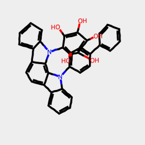 Oc1c(O)c(O)c(-n2c3ccccc3c3ccc4c5ccccc5n(-c5ccc(-c6ccccc6)cc5)c4c32)c(O)c1O